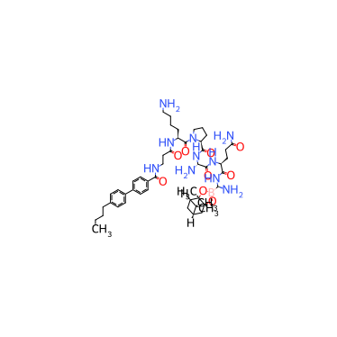 CCCCc1ccc(-c2ccc(C(=O)NCCC(=O)N[C@@H](CCCCN)C(=O)N3CCC[C@H]3C(=O)N[C@@H](N)C(=O)N[C@@H](CCC(N)=O)C(=O)N[C@@H](N)B3OC4C[C@@H]5C[C@@H](C5(C)C)[C@]4(C)O3)cc2)cc1